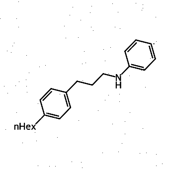 CCCCCCc1ccc(CCCNc2cc[c]cc2)cc1